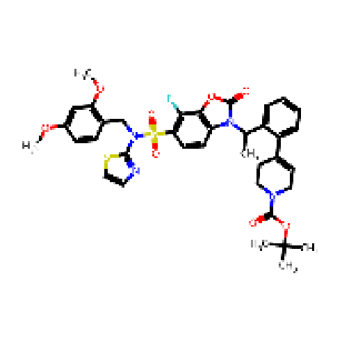 COc1ccc(CN(c2nccs2)S(=O)(=O)c2ccc3c(oc(=O)n3C(C)c3ccccc3C3=CCN(C(=O)OC(C)(C)C)CC3)c2F)c(OC)c1